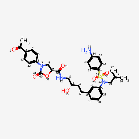 CC(=O)c1ccc(N2C[C@@H](C(=O)NC[C@@H](O)CCc3cccc(N(CC(C)C)S(=O)(=O)c4ccc(N)cc4)c3)OC2=O)cc1